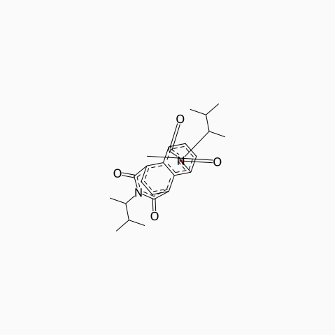 CC(C)C(C)n1c(=O)c2ccc(c1=O)c1c3ccc(c(=O)n(C(C)C(C)C)c3=O)c21